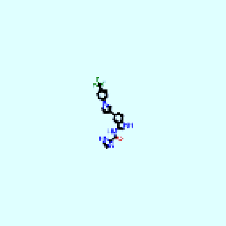 O=C(Nc1c[nH]c2ccc(-c3ccn(-c4ccc(C(F)(F)F)cc4)c3)cc12)c1ncc[nH]1